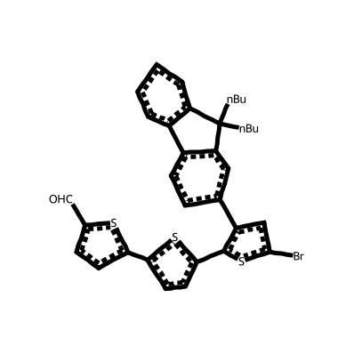 CCCCC1(CCCC)c2ccccc2-c2ccc(-c3cc(Br)sc3-c3ccc(-c4ccc(C=O)s4)s3)cc21